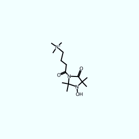 CC1(C)C(=O)N(C(=O)CCC[N+](C)(C)C)C(C)(C)N1O